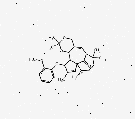 COc1cccnc1OC1C(C)=CC23C(=O)C(C=C4COC(C)(C)OC4C12)C(C)(C)CC[C@H]3C